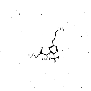 CCCCc1ccc(C(F)(F)F)c(C(C)C(=O)OC)c1